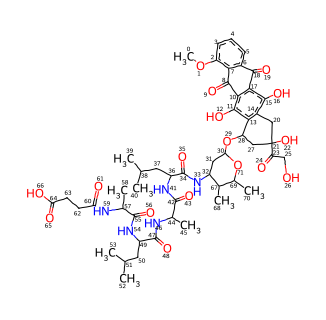 COc1cccc2c1C(=O)c1c(O)c3c(c(O)c1C2=O)CC(O)(C(=O)CO)CC3OC1CC(NC(=O)C(CC(C)C)NC(=O)C(C)NC(=O)C(CC(C)C)NC(=O)C(C)NC(=O)CCC(=O)O)C(C)C(C)O1